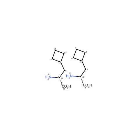 N[C@H](CC1CCC1)C(=O)O.N[C@H](CC1CCC1)C(=O)O